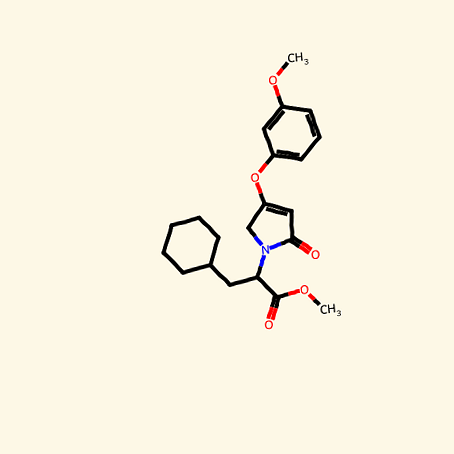 COC(=O)C(CC1CCCCC1)N1CC(Oc2cccc(OC)c2)=CC1=O